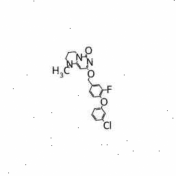 CN1CCCn2c1cc(OCc1ccc(Oc3cccc(Cl)c3)c(F)c1)nc2=O